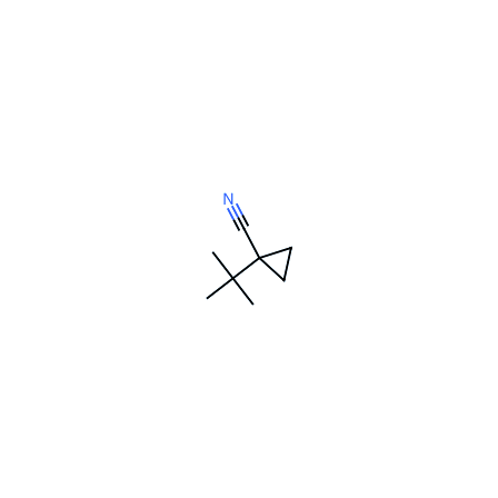 CC(C)(C)C1(C#N)CC1